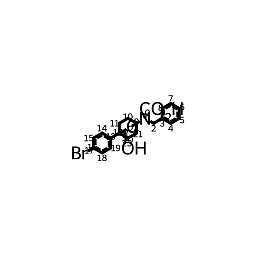 O=C(O)N(Cc1ccccc1)C12CCC(c3ccc(Br)cc3)(CC1)C(O)C2